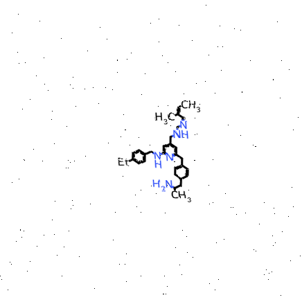 C/C=C(C)\C=N/CNCc1cc(CC2=CCC(CC(C)N)C=C2)nc(NCc2ccc(CC)cc2)c1